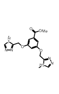 COC(=O)c1cc(OCC2=NN=C[SH]2C)cc(OCC2=NN=C[SH]2C)c1